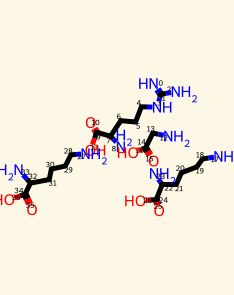 N=C(N)NCCCC(N)C(=O)O.NCC(=O)O.NCCCCC(N)C(=O)O.NCCCCC(N)C(=O)O